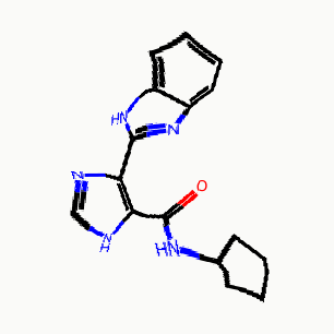 O=C(NC1CCCC1)c1[nH]cnc1-c1nc2ccccc2[nH]1